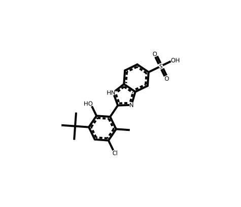 Cc1c(Cl)cc(C(C)(C)C)c(O)c1-c1nc2cc(S(=O)(=O)O)ccc2[nH]1